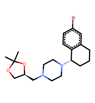 CC1(C)OC[C@H](CN2CCN([C@H]3CCCc4cc(Br)ccc43)CC2)O1